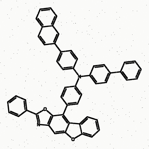 c1ccc(-c2ccc(N(c3ccc(-c4ccc5ccccc5c4)cc3)c3ccc(-c4c5oc(-c6ccccc6)nc5cc5oc6ccccc6c45)cc3)cc2)cc1